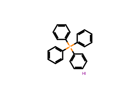 I.c1ccc([P](c2ccccc2)(c2ccccc2)c2ccccc2)cc1